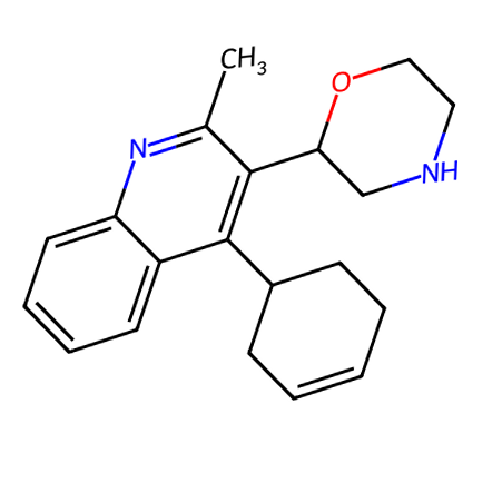 Cc1nc2ccccc2c(C2CC=CCC2)c1C1CNCCO1